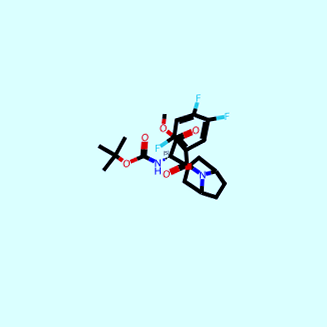 COC(=O)[C@@H](NC(=O)OC(C)(C)C)C1CC2CCC(C1)N2C(=O)c1cc(F)c(F)cc1F